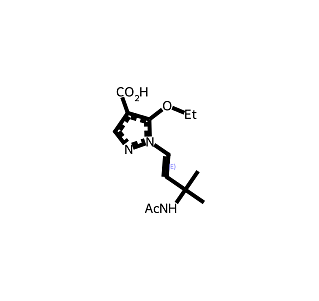 CCOc1c(C(=O)O)cnn1/C=C/C(C)(C)NC(C)=O